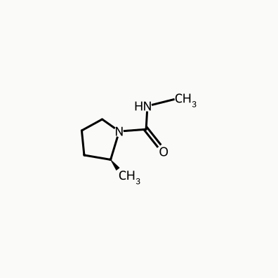 CNC(=O)N1CCC[C@@H]1C